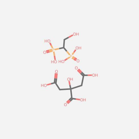 O=C(O)CC(O)(CC(=O)O)C(=O)O.O=P(O)(O)C(CO)P(=O)(O)O